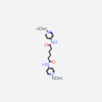 CCCCCCCCCC[n+]1ccc(NC(=O)CCCCC(=O)Nc2cc[n+](CCCCCCCCCC)cc2)cc1